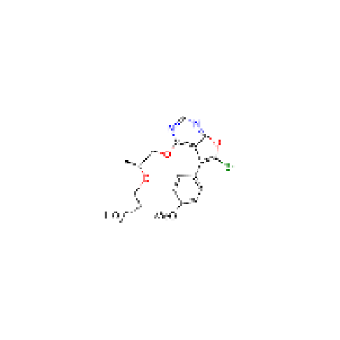 COc1ccc(-c2c(Br)oc3ncnc(OC[C@H](C)OCCC(=O)O)c23)cc1